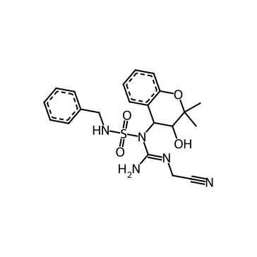 CC1(C)Oc2ccccc2C(N(C(N)=NCC#N)S(=O)(=O)NCc2ccccc2)C1O